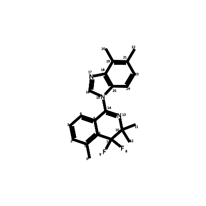 Cc1cccc2c1C(F)(F)C(C)(C)N=C2n1cnc2c(C)c(C)ccc21